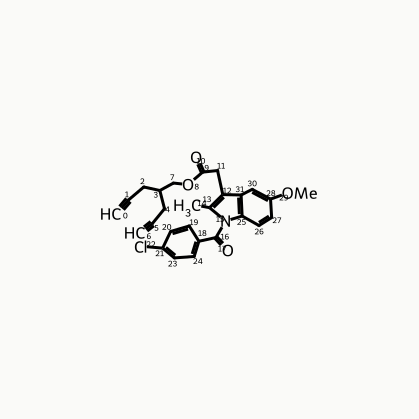 C#CCC(CC#C)COC(=O)Cc1c(C)n(C(=O)c2ccc(Cl)cc2)c2ccc(OC)cc12